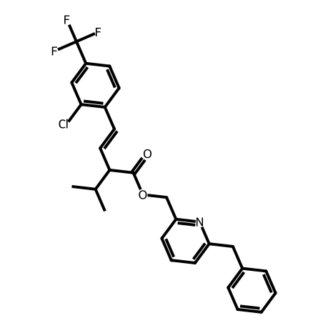 CC(C)C(C=Cc1ccc(C(F)(F)F)cc1Cl)C(=O)OCc1cccc(Cc2ccccc2)n1